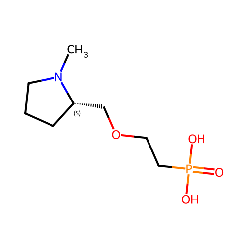 CN1CCC[C@H]1COCCP(=O)(O)O